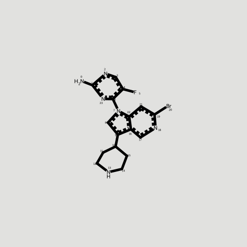 Nc1ncc(F)c(-n2cc(C3CCNCC3)c3cnc(Br)cc32)n1